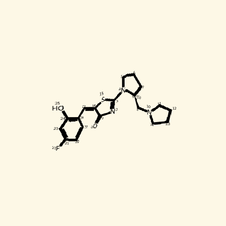 O=C1N=C(N2CCC[C@H]2CN2CCCC2)SC1=Cc1ccc(F)cc1O